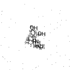 C=C1CC[C@H]2[C@H](CNCc3ccc[nH]3)[C@@H]([C@@]3(C)CC[C@H](O)C[C@@H]3CO)CC[C@]12C